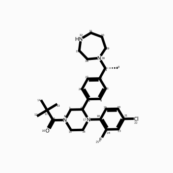 C[C@H](c1ccc(C2CN(C(=O)C(C)(C)C)CCN2c2ccc(Cl)cc2F)cc1)N1CCCNCC1